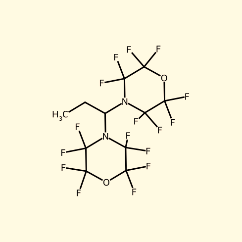 CCC(N1C(F)(F)C(F)(F)OC(F)(F)C1(F)F)N1C(F)(F)C(F)(F)OC(F)(F)C1(F)F